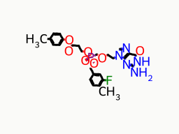 Cc1ccc(OC(=O)CCOP(=O)(COCCn2cnc3c(=O)[nH]c(N)nc32)OCc2ccc(C)c(F)c2)cc1